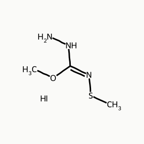 CO/C(=N\SC)NN.I